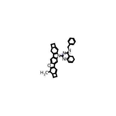 CC1c2oc3cc4c5c(n(/C(N)=N/C(=N\Cc6ccccc6)C6=CC=CCC6)c4cc3c2C=C2CCC21)C=C1CCC1C5